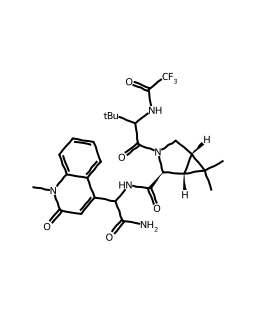 Cn1c(=O)cc(C(NC(=O)[C@@H]2[C@@H]3[C@H](CN2C(=O)C(NC(=O)C(F)(F)F)C(C)(C)C)C3(C)C)C(N)=O)c2ccccc21